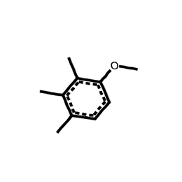 COc1ccc(C)c(C)c1C